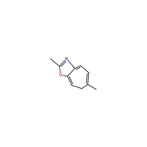 CC1=CC=c2nc(C)oc2=CC1